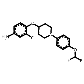 Nc1ccc(OC2CCN(c3ccc(OC(F)F)cc3)CC2)c(Cl)c1